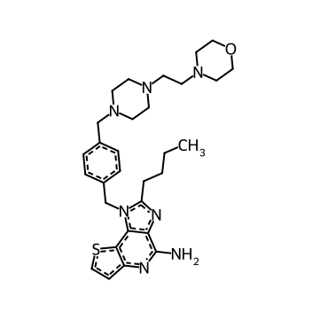 CCCCc1nc2c(N)nc3ccsc3c2n1Cc1ccc(CN2CCN(CCN3CCOCC3)CC2)cc1